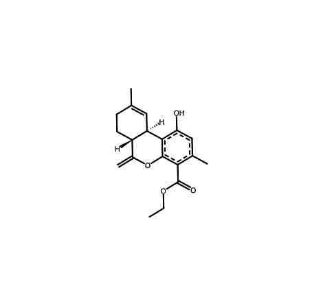 C=C1Oc2c(C(=O)OCC)c(C)cc(O)c2[C@@H]2C=C(C)CC[C@@H]12